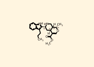 CCCc1c([C@@H]2C[C@@H]3C(C(=O)OC)=CO[C@@H](C)[C@H]3CN2)[nH]c2ccccc12